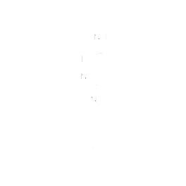 COC1CCN(C(=N)/C=C\C(=N)Cl)CC1